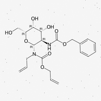 C=CCOC(=O)N(CC=C)[C@@H]1O[C@H](CO)[C@H](O)[C@H](O)[C@H]1NC(=O)OCc1ccccc1